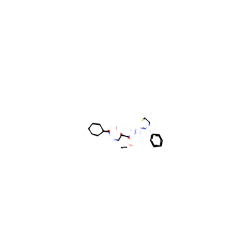 CC(C)C[C@H](NC(=O)C1CCCCC1)C(=O)C(=O)N/N=C1\SCCN1c1ccccc1